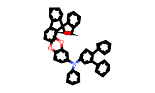 c1ccc(-c2ccc(N(c3ccccc3)c3ccc4c(c3)Oc3c(ccc5c3C3(c6ccccc6-c6ccccc63)c3ccccc3-5)O4)cc2-c2ccccc2)cc1